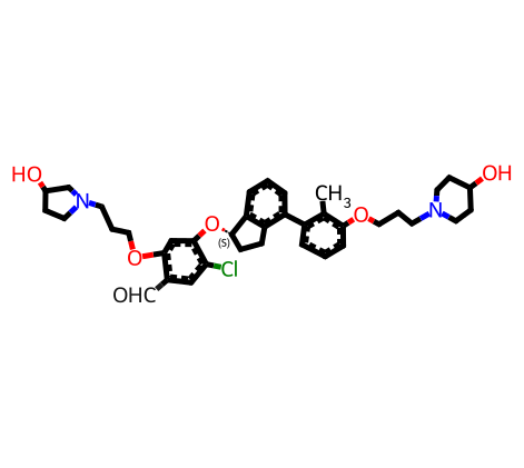 Cc1c(OCCCN2CCC(O)CC2)cccc1-c1cccc2c1CC[C@@H]2Oc1cc(OCCCN2CCC(O)C2)c(C=O)cc1Cl